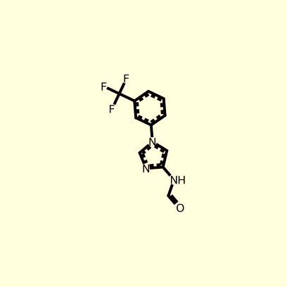 O=CNc1cn(-c2cccc(C(F)(F)F)c2)cn1